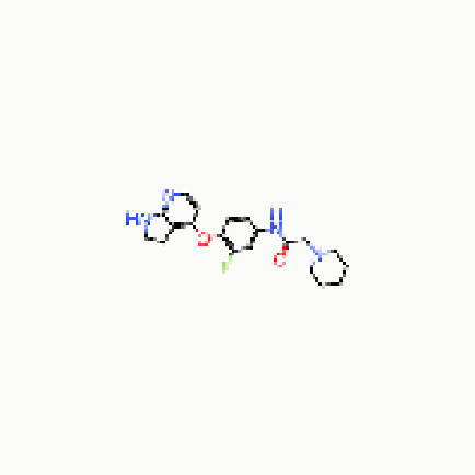 O=C(CN1CCCCC1)Nc1ccc(Oc2ccnc3c2CCN3)c(F)c1